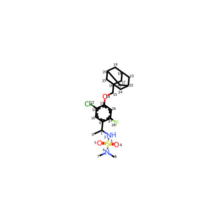 CC(NS(=O)(=O)N(C)C)c1cc(Cl)c(OCC23CC4CC(CC(C4)C2)C3)cc1F